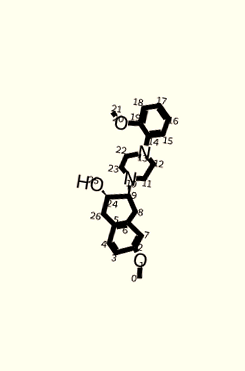 COc1ccc2c(c1)C[C@H](N1CCN(c3ccccc3OC)CC1)[C@@H](O)C2